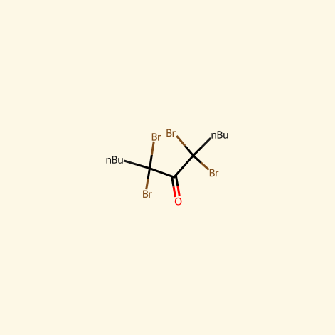 CCCCC(Br)(Br)C(=O)C(Br)(Br)CCCC